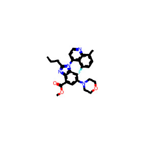 CCCc1nc2c(C(=O)OC)cc(N3CCOCC3)cc2n1-c1ccnc2c(C)ccc(F)c12